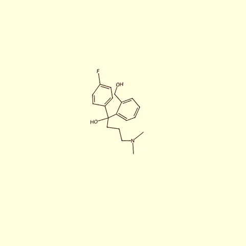 CN(C)CCCC(O)(c1ccc(F)cc1)c1ccccc1CO